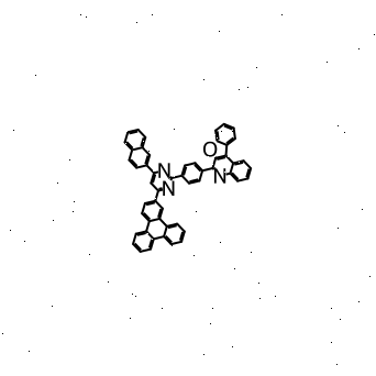 c1ccc2cc(-c3cc(-c4ccc5c6ccccc6c6ccccc6c5c4)nc(-c4ccc(-c5nc6ccccc6c6c5oc5ccccc56)cc4)n3)ccc2c1